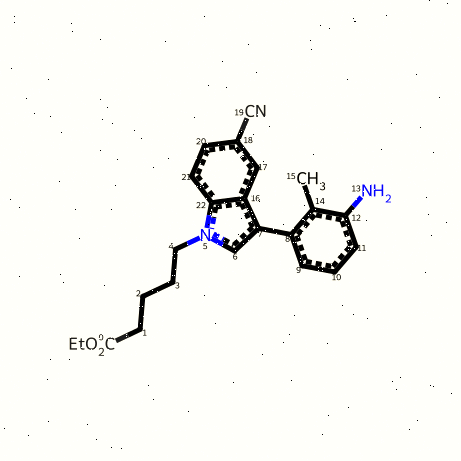 CCOC(=O)CCCCn1cc(-c2cccc(N)c2C)c2cc(C#N)ccc21